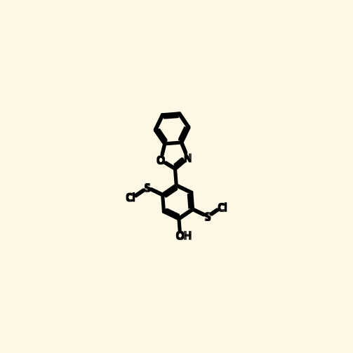 Oc1cc(SCl)c(-c2nc3ccccc3o2)cc1SCl